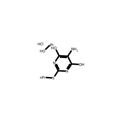 CC(C)O.CCCSc1nc(O)c(N)c(O)n1.Cl